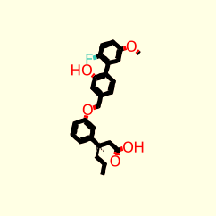 CCC[C@H](CC(=O)O)c1cccc(OCc2ccc(-c3cc(OC)ccc3F)c(O)c2)c1